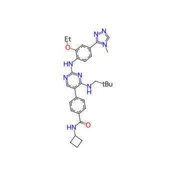 CCOc1cc(-c2nncn2C)ccc1Nc1ncc(-c2ccc(C(=O)NC3CCC3)cc2)c(NCC(C)(C)C)n1